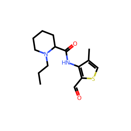 CCCN1CCCCC1C(=O)Nc1c(C)csc1C=O